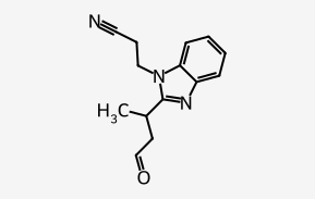 CC(CC=O)c1nc2ccccc2n1CCC#N